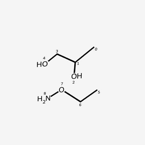 CC(O)CO.CCON